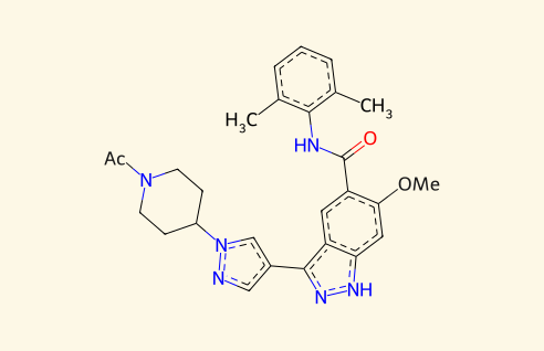 COc1cc2[nH]nc(-c3cnn(C4CCN(C(C)=O)CC4)c3)c2cc1C(=O)Nc1c(C)cccc1C